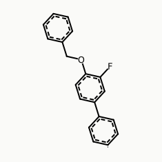 Fc1cc(-c2cc[c]cc2)ccc1OCc1ccccc1